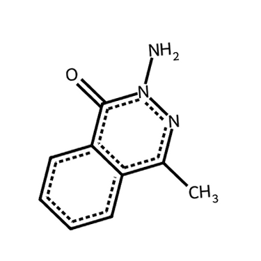 Cc1nn(N)c(=O)c2ccccc12